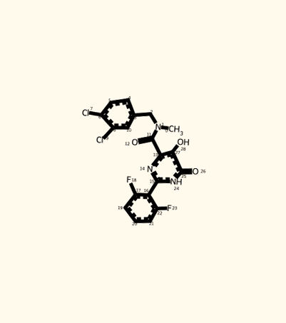 CN(Cc1ccc(Cl)c(Cl)c1)C(=O)c1nc(-c2c(F)cccc2F)[nH]c(=O)c1O